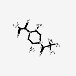 C[C@@H]1CN(C(=O)C(N)=O)[C@@H](C)CN1C(=O)C(C)(C)C